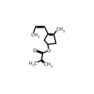 C=C(C)C(=O)OC1CC(C)=C(/C=C\C)C1